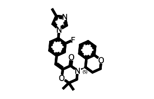 Cc1cn(-c2ccc(C=C3OC(C)(C)CN([C@H]4CCOc5ccccc54)C3=O)cc2F)cn1